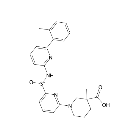 Cc1ccccc1-c1cccc(N[S+]([O-])c2cccc(N3CCCC(C)(C(=O)O)C3)n2)n1